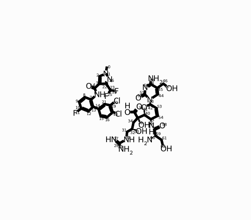 Cn1cc(C(=O)Nc2ccc(F)cc2-c2ccc(Cl)c(Cl)c2)c(C(F)F)n1.N=C(N)NC[C@H](O)C[C@](O)(C(=O)O)[C@H]1O[C@@H](n2cc(CO)c(N)nc2=O)C=C[C@@H]1NC(=O)[C@@H](N)CO